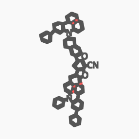 N#Cc1c2oc3cc4cc(N(c5ccccc5)c5cc(-c6ccccc6)ccc5-c5ccccc5)ccc4cc3c2cc2c1oc1cc3cc(N(c4ccccc4)c4cc(-c5ccccc5)ccc4-c4ccccc4)ccc3cc12